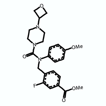 COC(=O)c1ccc(CN(C(=O)N2CCN(C3COC3)CC2)c2ccc(OC)cc2)c(F)c1